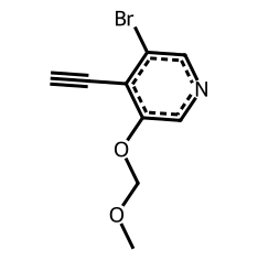 C#Cc1c(Br)cncc1OCOC